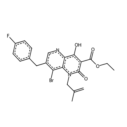 C=C(C)Cn1c(=O)c(C(=O)OCC)c(O)c2ncc(Cc3ccc(F)cc3)c(Br)c21